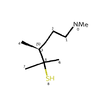 CNCC[C@H](C)C(C)(C)S